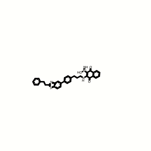 N=[N+](O)C1=C(NCCCc2ccc(-c3ccc4sc(CCc5ccccc5)nc4c3)cc2)C(=O)c2ccccc2C1=O